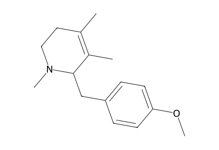 COc1ccc(CC2C(C)=C(C)CCN2C)cc1